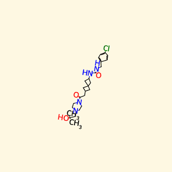 CC(C)(O)CN1CCN(C(=O)CC2CC3(C2)CC(NC(=O)NCc2ccc(Cl)cc2)C3)CC1